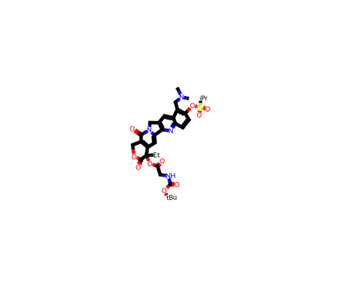 CCC1(OC(=O)CNC(=O)OC(C)(C)C)C(=O)OCc2c1cc1n(c2=O)Cc2cc3c(CN(C)C)c(OS(=O)(=O)C(C)C)ccc3nc2-1